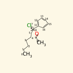 CCCCCC[Si](Cl)(OCC)c1ccccc1